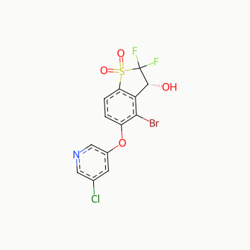 O=S1(=O)c2ccc(Oc3cncc(Cl)c3)c(Br)c2[C@@H](O)C1(F)F